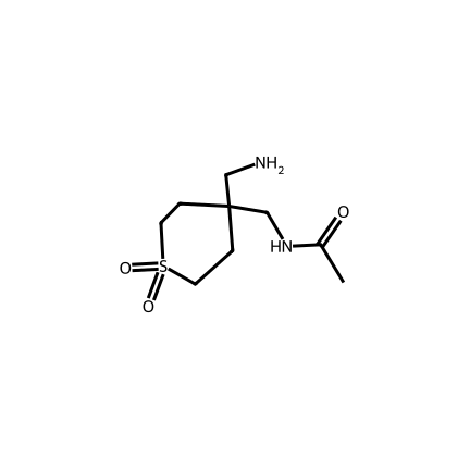 CC(=O)NCC1(CN)CCS(=O)(=O)CC1